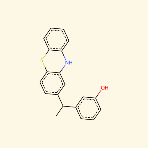 CC(c1cccc(O)c1)c1ccc2c(c1)Nc1ccccc1S2